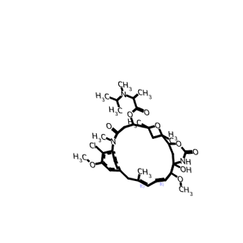 COc1cc2cc(c1Cl)N(C)C(=O)CC(OC(=O)C(C)N(C)C(C)C)C1(C)CC(C)(O1)C1CC(O)(NC(=O)O1)C(OC)/C=C/C=C(\C)C2